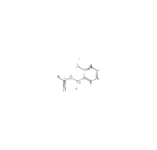 CCc1nccnc1C(C)OC(C)=O